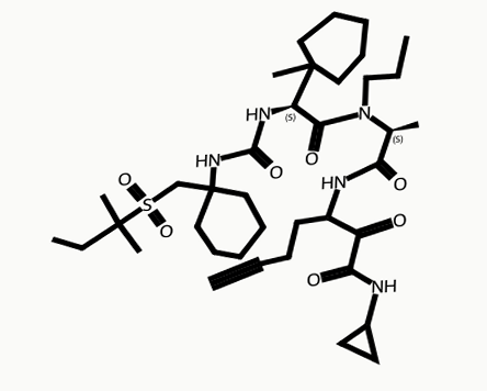 C#CCCC(NC(=O)[C@H](C)N(CCC)C(=O)[C@@H](NC(=O)NC1(CS(=O)(=O)C(C)(C)CC)CCCCC1)C1(C)CCCCC1)C(=O)C(=O)NC1CC1